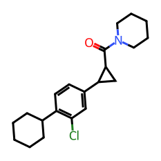 O=C(C1CC1c1ccc(C2CCCCC2)c(Cl)c1)N1CCCCC1